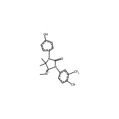 C/N=C1/N(c2ccc(C#N)c(C(F)(F)F)c2)C(=S)N(c2ccc(O)cc2)C1(C)C